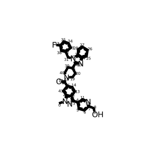 Cn1nc(-c2ccc(CO)nc2)c2ccc(C(=O)N3CCC(c4nc5ccccc5n4Cc4cccc(F)c4)CC3)cc21